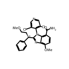 COCC[C@H](c1ccccc1)c1nc2c(OC)ccc(C(N)=O)c2n1-c1c(Cl)cncc1Cl